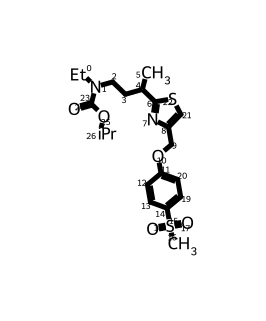 CCN(CCC(C)c1nc(COc2ccc(S(C)(=O)=O)cc2)cs1)C(=O)OC(C)C